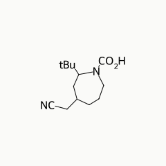 CC(C)(C)C1CC(CC#N)CCCN1C(=O)O